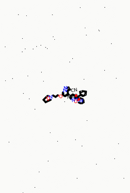 CO[C@@H](C(=O)N1C2CC1CN(c1ccc(-c3cc(OCCCN4CC5CCC(C4)O5)cn4ncc(C#N)c34)cn1)C2)c1ccccc1